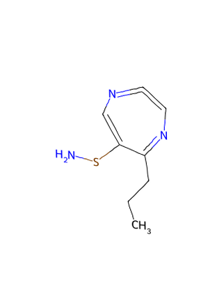 CCCC1=NC=C=NC=C1SN